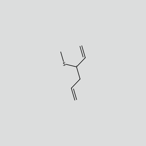 C=CC[C](C=C)SC